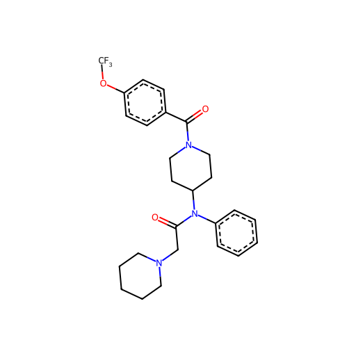 O=C(c1ccc(OC(F)(F)F)cc1)N1CCC(N(C(=O)CN2CCCCC2)c2ccccc2)CC1